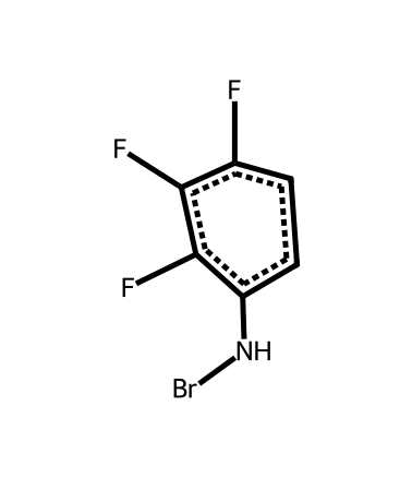 Fc1ccc(NBr)c(F)c1F